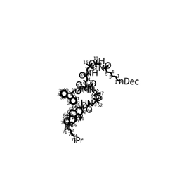 CCCCCCCCCCCCCCCC(=O)NCC(C)(C)OC(C)(C)CNC(=O)CC[C@H](NC(=O)OCC1c2ccccc2-c2ccccc21)C(=O)NCC(C)(C)OC(C)(C)CNC(=O)O[C@@H]1CC2=CC[C@@H]3[C@H](CC[C@]4(C)[C@@H]([C@H](C)CCCC(C)C)CC[C@@H]34)C2[C@H](C)C1